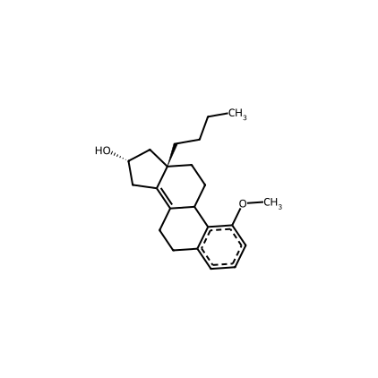 CCCC[C@@]12CCC3C(=C1C[C@H](O)C2)CCc1cccc(OC)c13